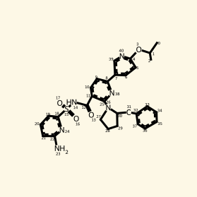 CC(C)Oc1ccc(-c2ccc(C(=O)NS(=O)(=O)c3cccc(N)n3)c(N3CCCC3Cc3ccccc3)n2)cn1